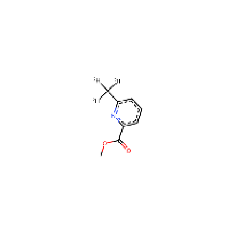 [2H]C([2H])([2H])c1cccc(C(=O)OC)n1